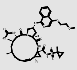 COCCOc1cnc(O[C@@H]2C[C@H]3C(=O)N[C@]4(C(=O)NS(=O)(=O)C5(C)CC5)C[C@H]4/C=C\CC[C@@H](C)C[C@@H](C)[C@H](NC(=O)O)C(=O)N3C2)c2ccccc12